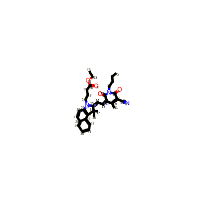 CCCCN1C(=O)C(C#N)=C(C)/C(=C/C=C2/N(CCCC(=O)OCC)c3ccc4ccccc4c3C2(C)C)C1=O